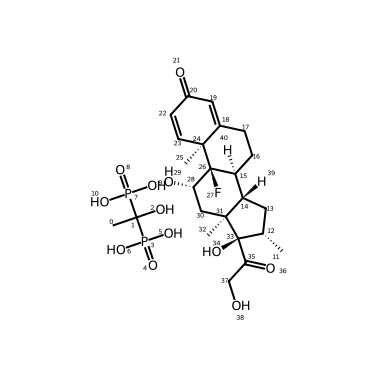 CC(O)(P(=O)(O)O)P(=O)(O)O.C[C@H]1C[C@H]2[C@@H]3CCC4=CC(=O)C=C[C@]4(C)[C@@]3(F)[C@@H](O)C[C@]2(C)[C@@]1(O)C(=O)CO